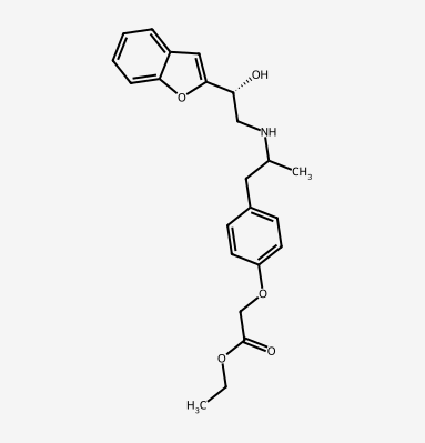 CCOC(=O)COc1ccc(CC(C)NC[C@@H](O)c2cc3ccccc3o2)cc1